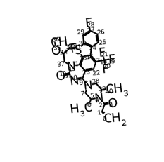 C=CC(=O)N1C(C)CN(c2nc(=O)n3c4c5c(c(C(F)(F)F)cc24)-c2ccc(F)cc2S5(F)CC(OC)C3)CC1C